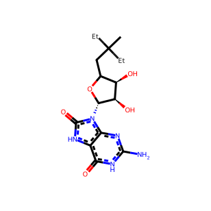 CCC(C)(CC)CC1O[C@@H](n2c(=O)[nH]c3c(=O)[nH]c(N)nc32)[C@H](O)[C@@H]1O